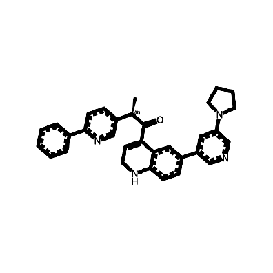 C[C@@H](C(=O)C1=CCNc2ccc(-c3cncc(N4CCCC4)c3)cc21)c1ccc(-c2ccccc2)nc1